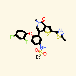 CCS(=O)(=O)Nc1ccc(Oc2ccc(F)cc2F)c(-c2cn(C)c(=O)c3cc(-c4nnc(C)s4)sc23)c1